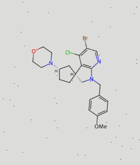 COc1ccc(CN2C[C@@]3(CC[C@H](N4CCOCC4)C3)c3c2ncc(Br)c3Cl)cc1